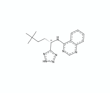 CC(C)(C)CC[C@H](Nc1ncnc2ccccc12)c1nn[nH]n1